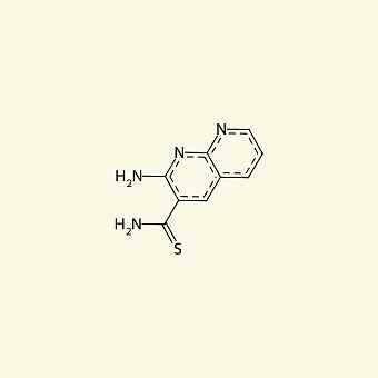 NC(=S)c1cc2cccnc2nc1N